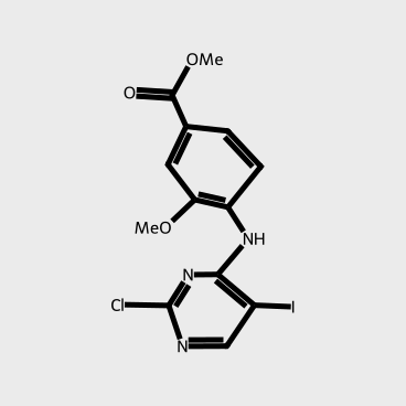 COC(=O)c1ccc(Nc2nc(Cl)ncc2I)c(OC)c1